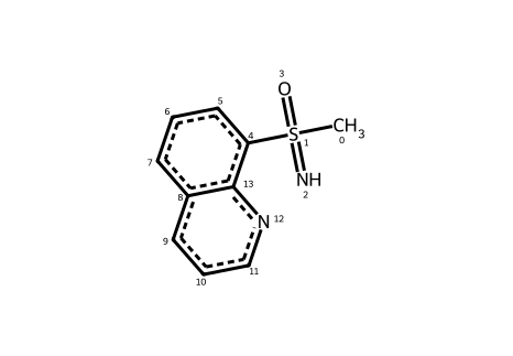 CS(=N)(=O)c1cccc2cccnc12